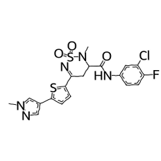 CN1C(C(=O)Nc2ccc(F)c(Cl)c2)CC(c2ccc(-c3cnn(C)c3)s2)=NS1(=O)=O